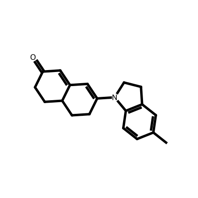 Cc1ccc2c(c1)CCN2C1=CC2=CC(=O)CCC2CC1